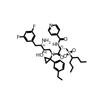 CCCC(CCC)S(=O)(=O)C[C@@H](NC(=O)c1ccncc1)C(=O)N(C[C@@H](O)[C@@H](N)Cc1cc(F)cc(F)c1)C1(c2cccc(CC)c2)CC1